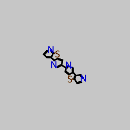 c1cnc2sc3cc(-c4cc5sc6ccncc6c5cn4)cnc3c2c1